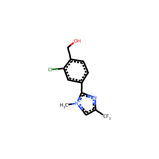 Cn1cc(C(F)(F)F)nc1-c1ccc(CO)c(Cl)c1